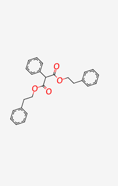 O=C(OCCc1ccccc1)C(C(=O)OCCc1ccccc1)c1ccccc1